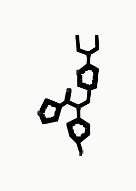 CCN(CC)c1ccc(CN(C(=O)c2ccoc2)c2ccc(F)cc2)cn1